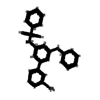 Cc1cccc(-c2cc(Oc3ccccc3)nc(NS(=O)(=O)c3ccccc3)n2)c1